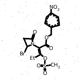 CCC(OS(C)(=O)=O)=C(C(=O)OCc1ccc([N+](=O)[O-])cc1)N1C(=O)CC1Br